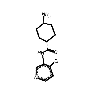 N[C@H]1CC[C@H](C(=O)Nc2cnccc2Cl)CC1